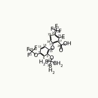 BC(B)(B)Oc1cc(OC(F)(F)F)ccc1Oc1ccc(C(F)(F)F)c(F)c1C(=O)O